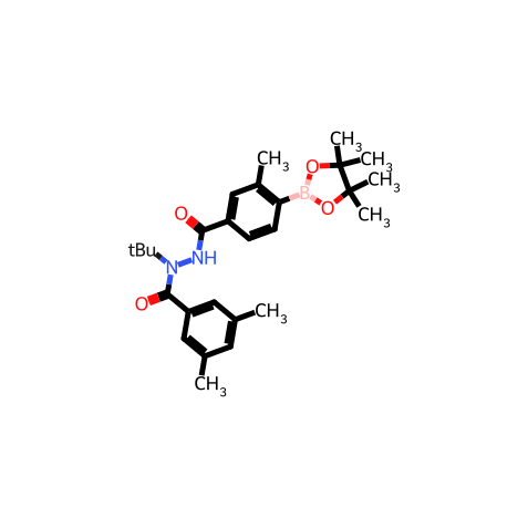 Cc1cc(C)cc(C(=O)N(NC(=O)c2ccc(B3OC(C)(C)C(C)(C)O3)c(C)c2)C(C)(C)C)c1